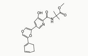 COC(=O)C(C)(C)NC(=O)c1ncc(C2=COC=C(C3=CC=CCC3)O2)cc1O